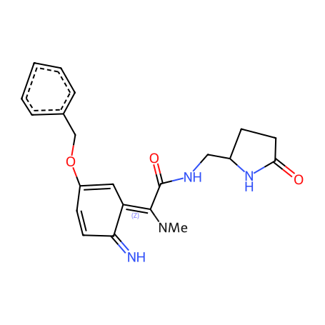 CN/C(C(=O)NCC1CCC(=O)N1)=C1/C=C(OCc2ccccc2)C=CC1=N